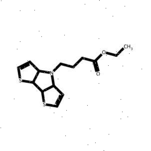 CCOC(=O)CCCN1C2C=CSC2C2SC=CC21